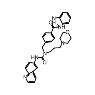 Nc1ccccc1NC(=O)c1ccc(CN(CCCN2CCOCC2)C(=O)Nc2ccc3ncccc3c2)cc1